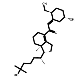 C[C@H](CCCC(C)(C)O)[C@H]1CCC2=C(C(=O)C=C3C[C@@H](O)CC[C@@H]3CO)CCC[C@@]21C